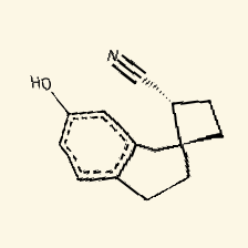 N#C[C@@H]1CC[C@]12CCc1ccc(O)cc12